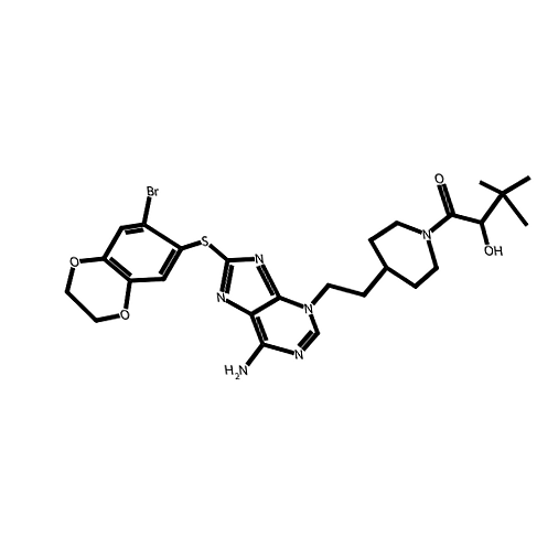 CC(C)(C)C(O)C(=O)N1CCC(CCn2cnc(N)c3nc(Sc4cc5c(cc4Br)OCCO5)nc2-3)CC1